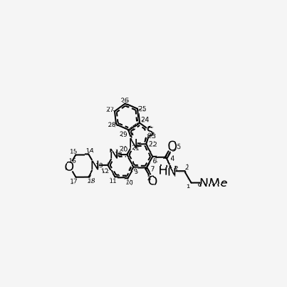 CNCCNC(=O)c1c(=O)c2ccc(N3CCOCC3)nc2n2c1sc1ccccc12